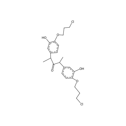 CC(C(=O)C(C)c1ccc(OCCCCl)c(O)c1)c1ccc(OCCCCl)c(O)c1